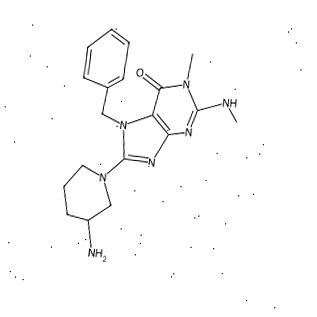 CNc1nc2nc(N3CCCC(N)C3)n(Cc3ccccc3)c2c(=O)n1C